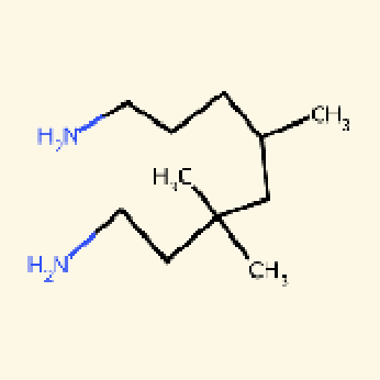 CC(CCCN)CC(C)(C)CCN